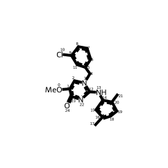 COc1cn(Cc2cccc(Cl)c2)c(Nc2cc(C)ccc2C)nc1=O